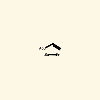 C=COC(C)=O.CC(C)(C)Br